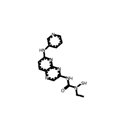 CCN(S)C(=O)Nc1cnc2ccc(Nc3cccnc3)nc2n1